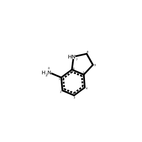 Nc1cccc2c1NCC2